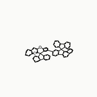 c1ccc2c(c1)-c1ccccc1C21c2cc(-c3ccc4c(c3)C3(c5ccccc5-c5ccccc53)c3c-4ccc4ccccc34)ccc2Oc2cc3ccccc3cc21